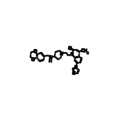 Cc1cc(=O)n(CCN2CCC(NCc3ccc4c(c3)OCCO4)CC2)c2cc(-n3ccnc3)ccc12